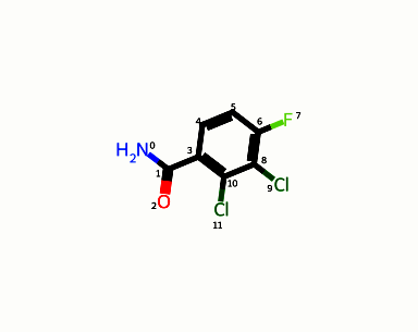 NC(=O)c1ccc(F)c(Cl)c1Cl